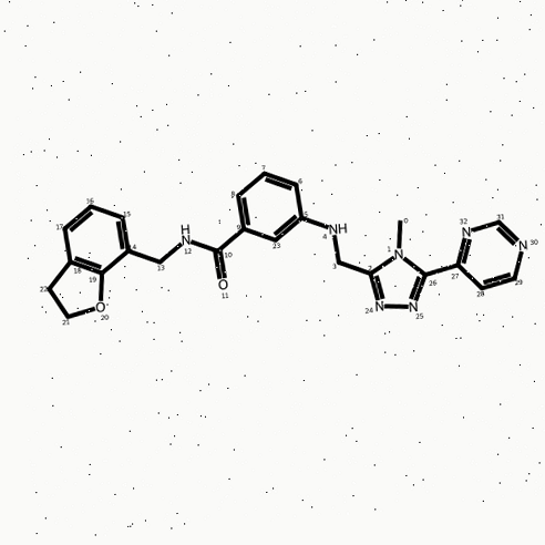 Cn1c(CNc2cccc(C(=O)NCc3cccc4c3OCC4)c2)nnc1-c1ccncn1